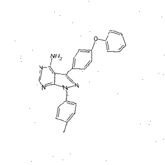 Cc1ccc(-n2nc(-c3ccc(Oc4ccccc4)cc3)c3c(N)ncnc32)cc1